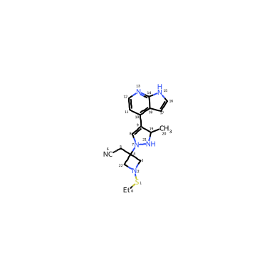 CCSN1CC(CC#N)(N2C=C(c3ccnc4[nH]ccc34)C(C)N2)C1